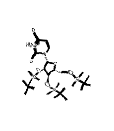 CC(C)(C)[Si](C)(C)OC[C@H]1O[C@@H](n2ccc(=O)[nH]c2=O)[C@@H](O[Si](C)(C)C(C)(C)C)[C@@H]1O[Si](C)(C)C(C)(C)C